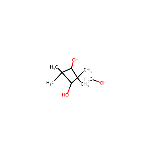 CC1(C)C(O)C(C)(C)C1O.CO